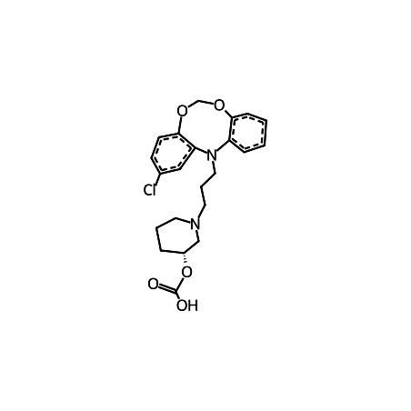 O=C(O)O[C@@H]1CCCN(CCCN2c3ccccc3OCOc3ccc(Cl)cc32)C1